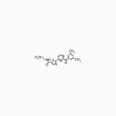 Cc1cc(C)cc(Nc2nccc(-c3ncc(C(=O)NCCN)s3)n2)c1